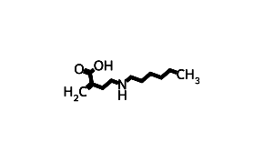 C=C(CCNCCCCCC)C(=O)O